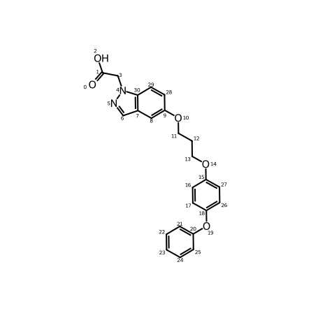 O=C(O)Cn1ncc2cc(OCCCOc3ccc(Oc4ccccc4)cc3)ccc21